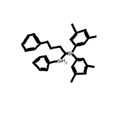 Cc1cc(C)cc([SiH](c2cc(C)cc(C)c2)C(CCCc2ccccc2)[SiH2]c2ccccc2)c1